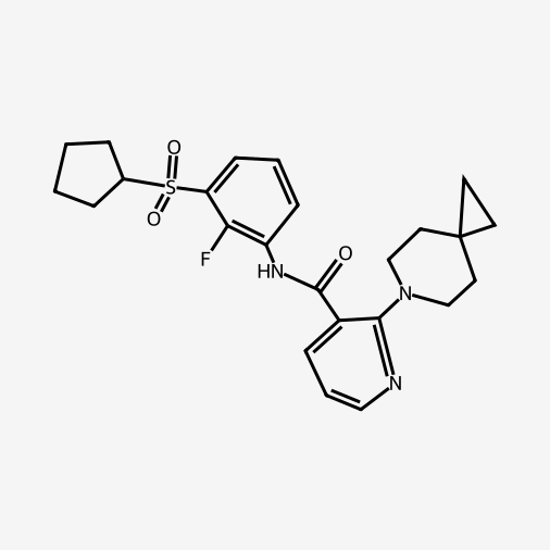 O=C(Nc1cccc(S(=O)(=O)C2CCCC2)c1F)c1cccnc1N1CCC2(CC1)CC2